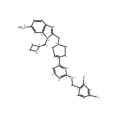 O=C(O)c1ccc2nc(CN3CC=C(c4ccnc(OCc5ccc(F)cc5F)n4)CC3)n(C[C@@H]3CCO3)c2c1